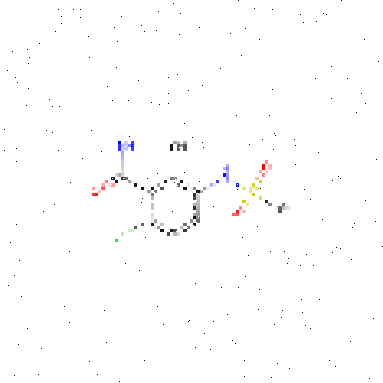 CCCS(=O)(=O)Nc1ccc(Cl)c(C(N)=O)c1C#N